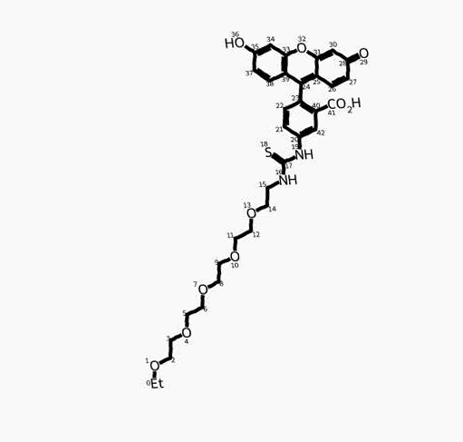 CCOCCOCCOCCOCCOCCNC(=S)Nc1ccc(-c2c3ccc(=O)cc-3oc3cc(O)ccc23)c(C(=O)O)c1